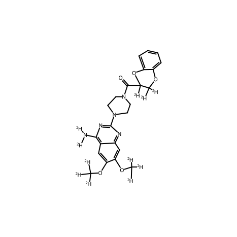 [2H]N([2H])c1nc(N2CCN(C(=O)C3([2H])Oc4ccccc4OC3([2H])[2H])CC2)nc2cc(OC([2H])([2H])[2H])c(OC([2H])([2H])[2H])cc12